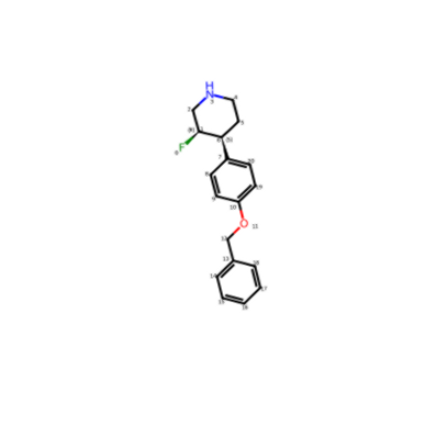 F[C@H]1CNCC[C@H]1c1ccc(OCc2ccccc2)cc1